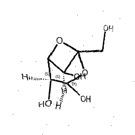 OCC12OC([C@H](O)[C@H](O)O1)[C@@H]2O